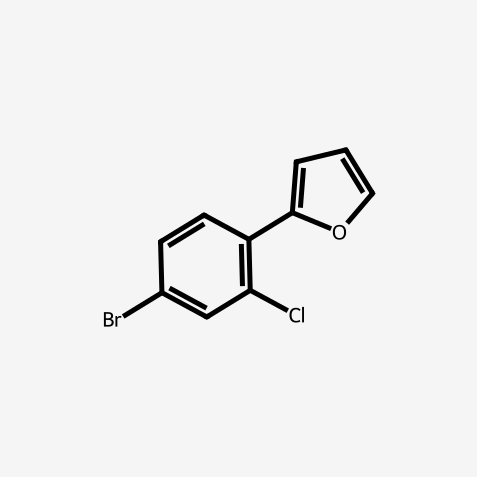 Clc1cc(Br)ccc1-c1ccco1